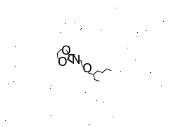 CCCCC(CC)COCCn1cc2c(c1)OCCCO2